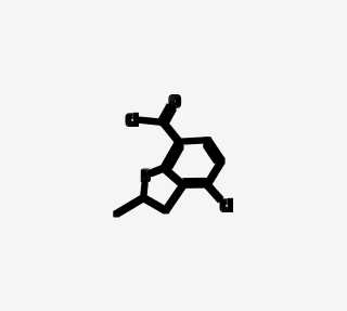 CC1Cc2c(Cl)ccc(C(=O)Cl)c2S1